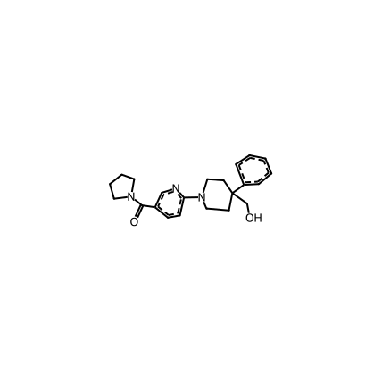 O=C(c1ccc(N2CCC(CO)(c3ccccc3)CC2)nc1)N1CCCC1